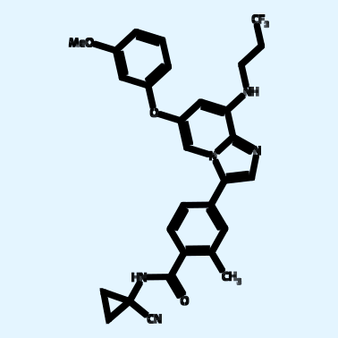 COc1cccc(Oc2cc(NCCC(F)(F)F)c3ncc(-c4ccc(C(=O)NC5(C#N)CC5)c(C)c4)n3c2)c1